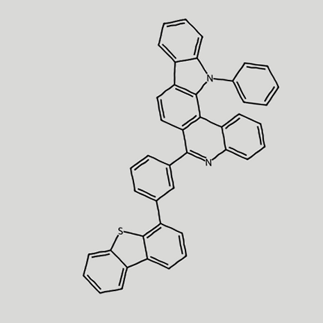 c1ccc(-n2c3ccccc3c3ccc4c(-c5cccc(-c6cccc7c6sc6ccccc67)c5)nc5ccccc5c4c32)cc1